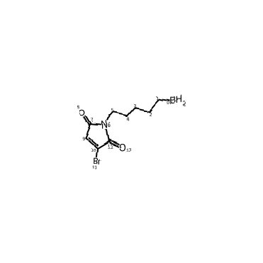 BCCCCCN1C(=O)C=C(Br)C1=O